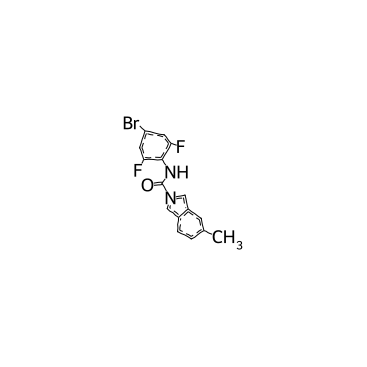 Cc1ccc2cn(C(=O)Nc3c(F)cc(Br)cc3F)cc2c1